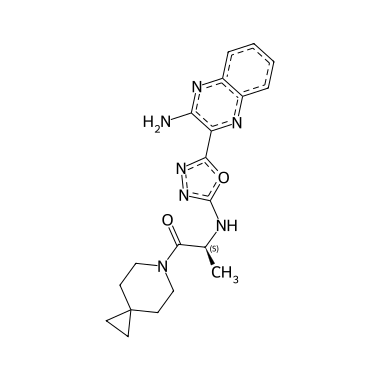 C[C@H](Nc1nnc(-c2nc3ccccc3nc2N)o1)C(=O)N1CCC2(CC1)CC2